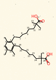 Cc1cc(C)c(CCCCCCC(C)(C)C(=O)O)c(CCCCCCC(C)(C)C(=O)O)c1C